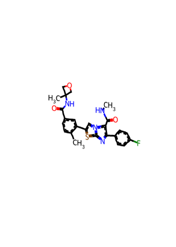 CNC(=O)c1c(-c2ccc(F)cc2)nc2sc(-c3cc(C(=O)NC4(C)COC4)ccc3C)cn12